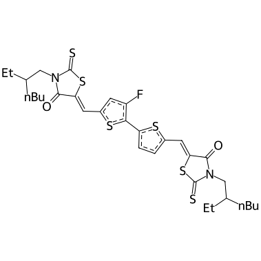 CCCCC(CC)CN1C(=O)/C(=C/c2ccc(-c3sc(/C=C4\SC(=S)N(CC(CC)CCCC)C4=O)cc3F)s2)SC1=S